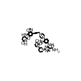 CN1CCN([C@@H]2CCCN(c3nnc(C(N)=O)c(Nc4ccc(N5CCN(CC#Cc6ccc(NC7CCC(=O)NC7=O)c7ocnc67)CC5)c(F)c4)n3)C2)C1=O